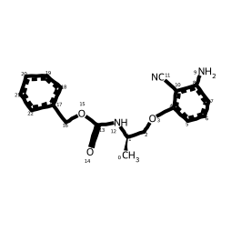 C[C@H](COc1cccc(N)c1C#N)NC(=O)OCc1ccccc1